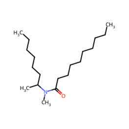 CCCCCCCCCC(=O)N(C)C(C)CCCCCC